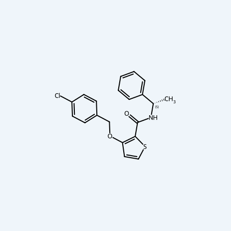 C[C@H](NC(=O)c1sccc1OCc1ccc(Cl)cc1)c1ccccc1